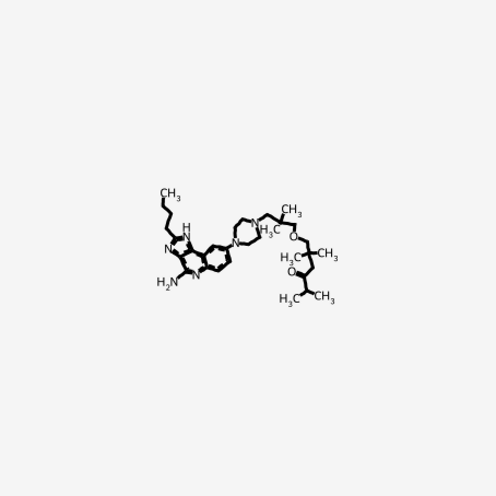 CCCCc1nc2c(N)nc3ccc(N4CCN(CC(C)(C)COCC(C)(C)CC(=O)C(C)C)CC4)cc3c2[nH]1